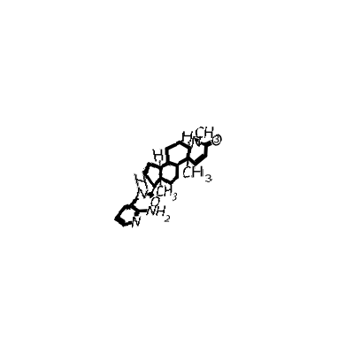 CN1C(=O)C=C[C@]2(C)C3CC[C@]4(C)[C@@H](C(=O)Nc5cccnc5N)CC[C@H]4C3CC[C@@H]12